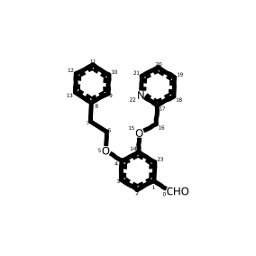 O=Cc1ccc(OCCc2ccccc2)c(OCc2ccccn2)c1